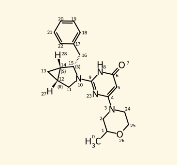 CC1CN(c2cc(=O)[nH]c(N3C[C@@H]4C[C@@H]4[C@@H]3Cc3ccccc3)n2)CCO1